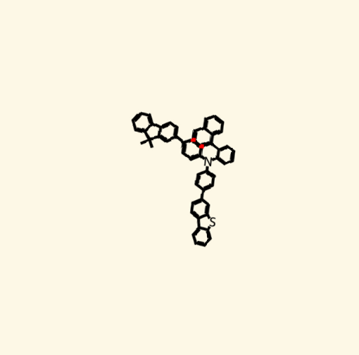 CC1(C)c2ccccc2-c2ccc(-c3ccc(N(c4ccc(-c5ccc6c(c5)sc5ccccc56)cc4)c4ccccc4-c4cccc5ccccc45)cc3)cc21